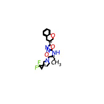 CC[C@H](Nc1nnc([C@@H]2COc3ccccc3C2)o1)C(=O)N1CC[C@]2(C1)CC2(F)F